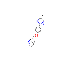 Cc1cnc(-c2ccc(OCC3CC4CCN(C4)C3)cc2)nc1